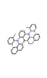 CC1=CC=CC(C)C1N1C2=C(CCc3ccccc32)B2c3ccc4ccccc4c3N(c3c(C)cccc3C)c3cccc1c32